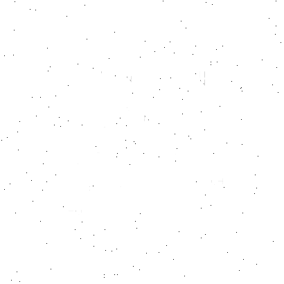 CNC(=O)n1c2c(c3c(C)cccc31)CCNC2.O=C(O)C(F)(F)F